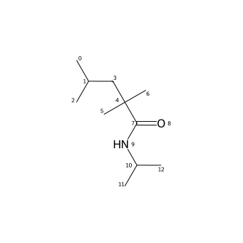 CC(C)CC(C)(C)C(=O)NC(C)C